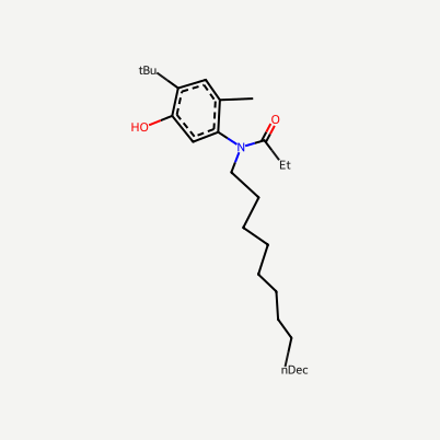 CCCCCCCCCCCCCCCCCCN(C(=O)CC)c1cc(O)c(C(C)(C)C)cc1C